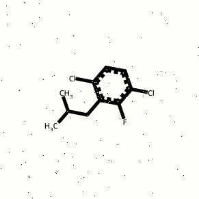 CC(C)Cc1c(Cl)ccc(Cl)c1F